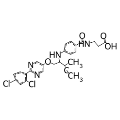 CCC(C)C(COc1cnc(-c2ccc(Cl)cc2Cl)nc1)Nc1ccc(C(=O)NCCC(=O)O)cc1